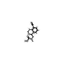 CN(CC1OCCc2c(C#N)cccc21)C(=O)O